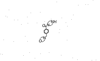 O=C(c1ccc(CN2CCOCC2)cc1)N1CCNCC1